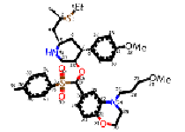 CCS[C@H](C)C[C@H]1C[C@H](c2ccc(OC)cc2)[C@@H](OC(c2ccc3c(c2)N(CCCOC)CCO3)S(=O)(=O)c2ccc(C)cc2)CN1